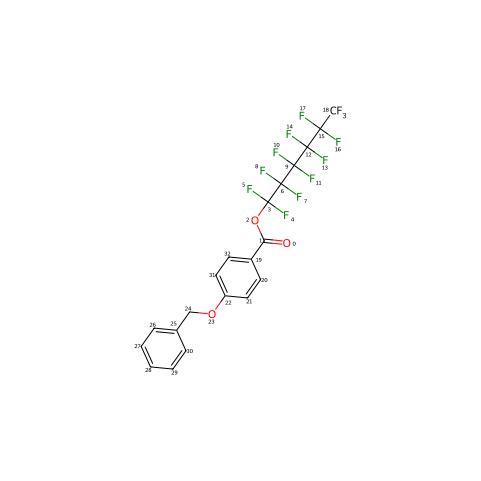 O=C(OC(F)(F)C(F)(F)C(F)(F)C(F)(F)C(F)(F)C(F)(F)F)c1ccc(OCc2ccccc2)cc1